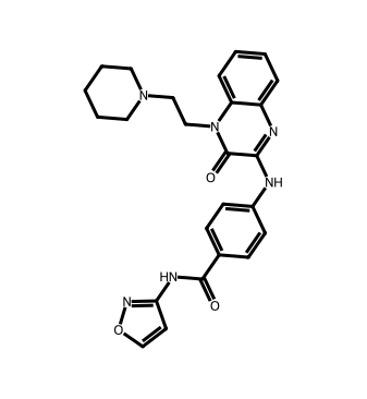 O=C(Nc1ccon1)c1ccc(Nc2nc3ccccc3n(CCN3CCCCC3)c2=O)cc1